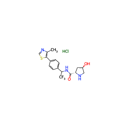 Cc1ncsc1-c1ccc(C(NC(=O)[C@@H]2C[C@@H](O)CN2)C(F)(F)F)cc1.Cl